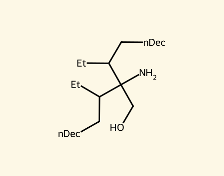 CCCCCCCCCCCC(CC)C(N)(CO)C(CC)CCCCCCCCCCC